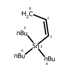 [CH2]/C=[CH]\[Sn]([CH2]CCC)([CH2]CCC)[CH2]CCC